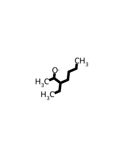 CCCCC(CC)C(C)[O]